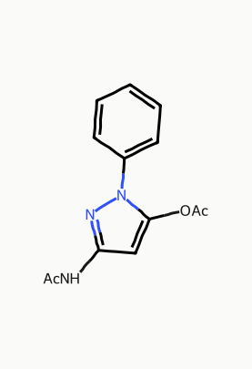 CC(=O)Nc1cc(OC(C)=O)n(-c2ccccc2)n1